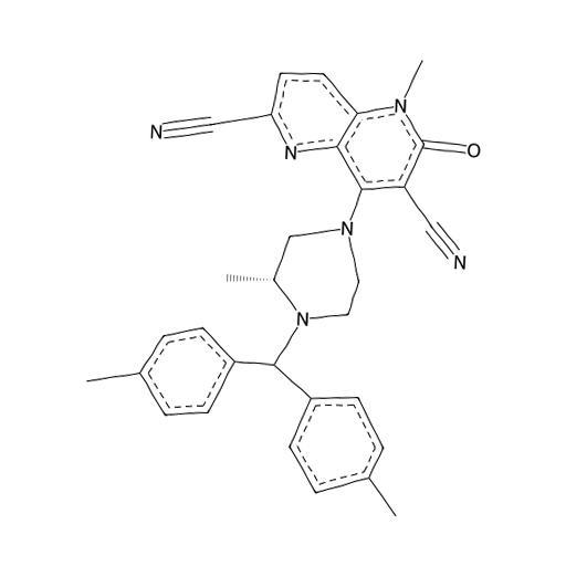 Cc1ccc(C(c2ccc(C)cc2)N2CCN(c3c(C#N)c(=O)n(C)c4ccc(C#N)nc34)C[C@H]2C)cc1